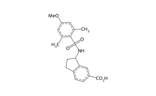 COc1cc(C)c(S(=O)(=O)NC2CCc3ccc(C(=O)O)cc32)c(C)c1